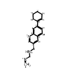 C=NCNCc1cnc2cc(C3=CCCCC3)ccc2c1